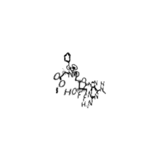 CCOC(=O)[C@H](C)N[P@](=O)(OC[C@H]1O[C@@H](n2cnc3c(NC)nc(N)nc32)[C@@](F)(CF)[C@@H]1O)Oc1ccccc1